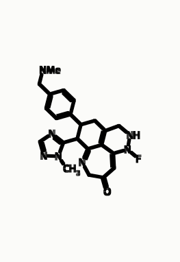 CNCc1ccc(C2CC3=C4C(=CC(=O)CN=C4C2c2ncnn2C)N(F)NC3)cc1